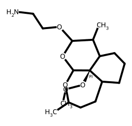 COO[C@]12C3CCCC1C(C)C(OCCN)OC2OC(C)CC3